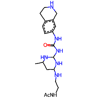 CC(=O)NCCNC1CC(C)NC(NC(=O)Nc2ccc3c(c2)CNCC3)N1